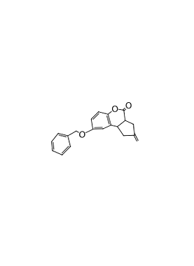 C=C1CC2C(=O)Oc3ccc(OCc4ccccc4)cc3C2C1